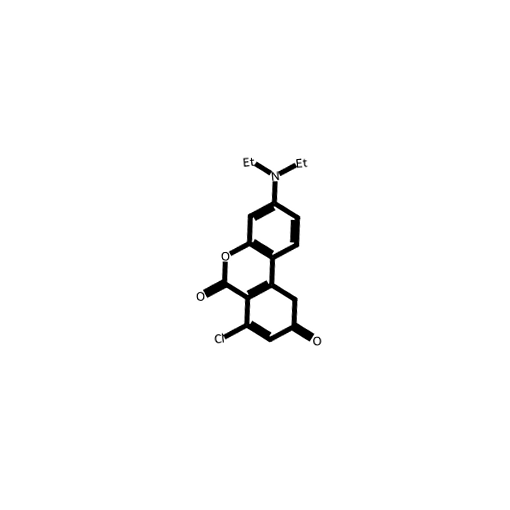 CCN(CC)c1ccc2c3c(c(=O)oc2c1)C(Cl)=CC(=O)C3